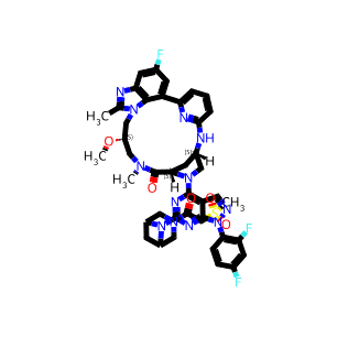 CO[C@H]1CN(C)C(=O)[C@@H]2C[C@@H](CN2c2nc(N3C4CC3CN(C(=O)CS(C)(=O)=O)C4)nc3c2cnn3-c2ccc(F)cc2F)Nc2cccc(n2)-c2cc(F)cc3nc(C)n(c23)C1